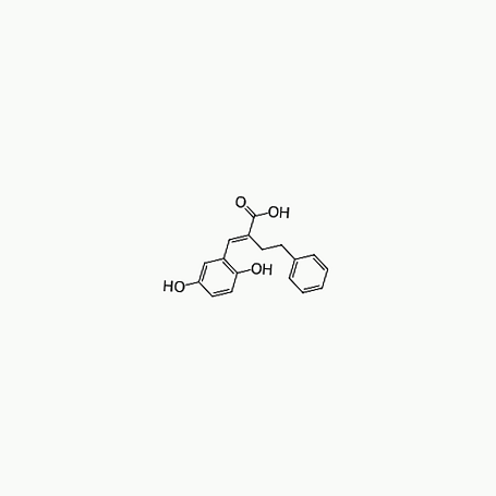 O=C(O)/C(=C/c1cc(O)ccc1O)CCc1ccccc1